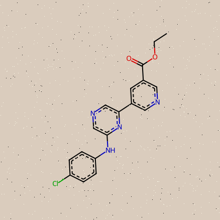 CCOC(=O)c1cncc(-c2cncc(Nc3ccc(Cl)cc3)n2)c1